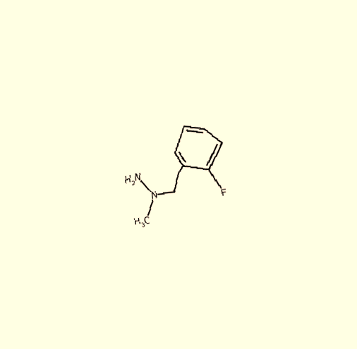 CN(N)Cc1ccccc1F